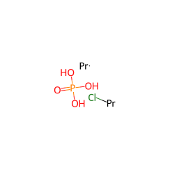 O=P(O)(O)O.[Cl][Pr].[Pr]